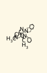 Cc1c(CN(C)C)c2ccnc(N3CCc4ccccc4C3)c2n1Cc1ccccc1